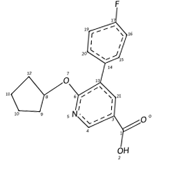 O=C(O)c1cnc(OC2CCCC2)c(-c2ccc(F)cc2)c1